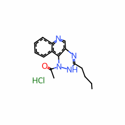 CCCCC1=Nc2cnc3ccccc3c2N(C(C)=O)N1.Cl